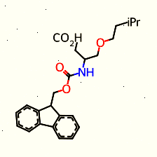 CC(C)CCOCC(CC(=O)O)NC(=O)OCC1c2ccccc2-c2ccccc21